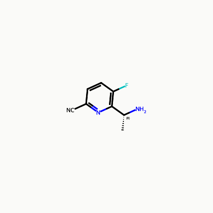 C[C@@H](N)c1nc(C#N)ccc1F